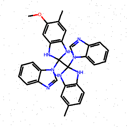 COc1cc2c(cc1C)NC(n1cnc3ccccc31)(C1(n3cnc4ccccc43)Nc3ccc(C)cc3N1)N2